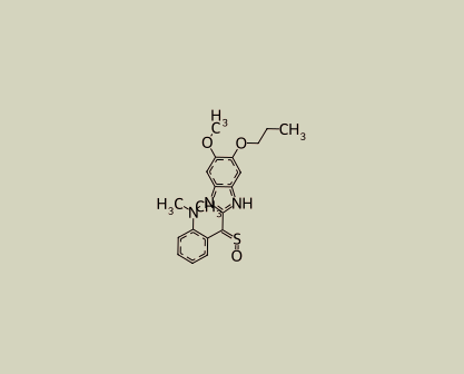 CCCOc1cc2[nH]c(C(=S=O)c3ccccc3N(C)C)nc2cc1OC